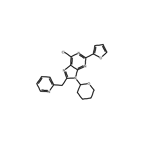 Clc1nc(-c2ccco2)nc2c1nc(Cc1ccccn1)n2C1CCCCO1